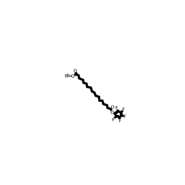 CC(C)(C)OC(=O)CCCCCCCCCCCCCCCCC(=O)Oc1c(F)c(F)c(F)c(F)c1F